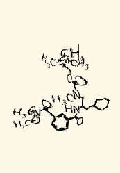 CON(C)C(=O)c1cccc(C(=O)NC(CC2CCCCC2)CN(C)C(=O)OCC[Si](C)(C)C)c1